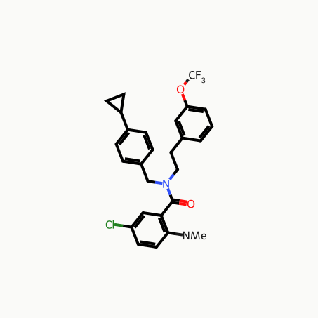 CNc1ccc(Cl)cc1C(=O)N(CCc1cccc(OC(F)(F)F)c1)Cc1ccc(C2CC2)cc1